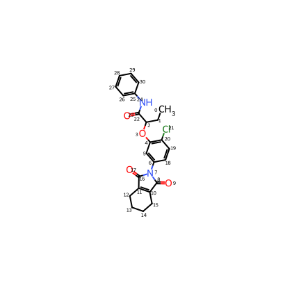 CCC(Oc1cc(N2C(=O)C3=C(CCCC3)C2=O)ccc1Cl)C(=O)Nc1ccccc1